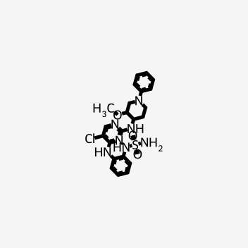 COC1CN(c2ccccc2)CCC1Nc1ncc(Cl)c(Nc2ccccc2NS(N)(=O)=O)n1